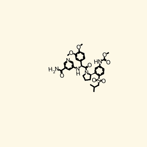 COC(=O)Nc1ccc(S(=O)(=O)CC(C)C)c([C@H]2CCCN2C(=O)[C@@H](Nc2cncc(C(N)=O)c2)c2ccc(OC)c(OC)c2)c1